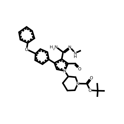 CN/N=C(/N)c1c(-c2ccc(Oc3ccccc3)cc2)cn(C2CCCN(C(=O)OC(C)(C)C)C2)c1C=O